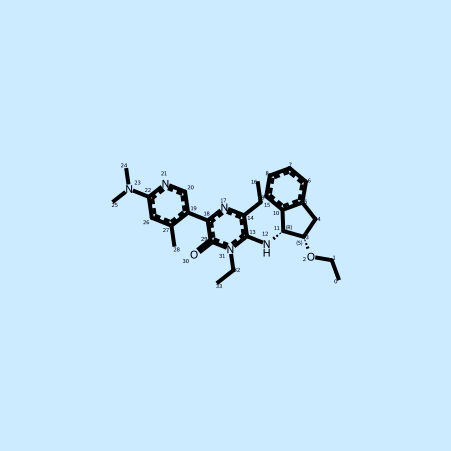 CCO[C@H]1Cc2ccccc2[C@H]1Nc1c(CC)nc(-c2cnc(N(C)C)cc2C)c(=O)n1CC